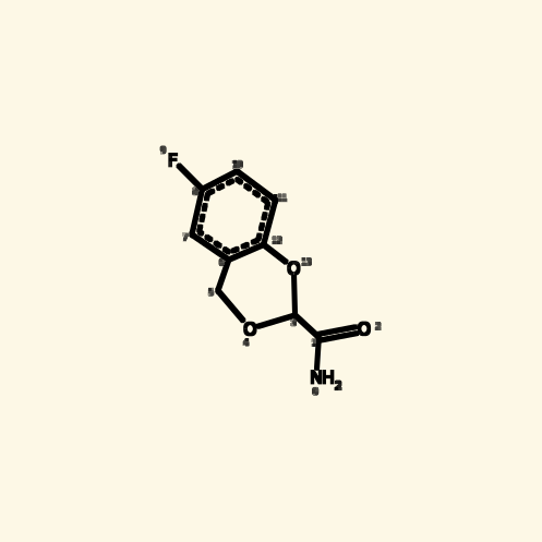 NC(=O)C1OCc2cc(F)c[c]c2O1